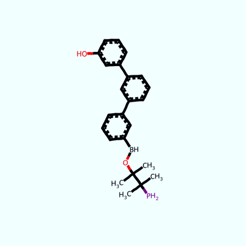 CC(C)(P)C(C)(C)OBc1cccc(-c2cccc(-c3cccc(O)c3)c2)c1